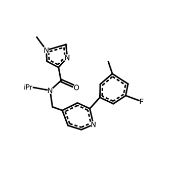 Cc1cc(F)cc(-c2cc(CN(C(=O)c3cn(C)cn3)C(C)C)ccn2)c1